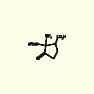 CCCCCC1(C)C(=O)CCC1C(=O)O